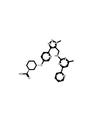 Cc1cc(-c2ccccn2)nc(NCc2c(-c3ccc(O[C@H]4CCC[C@H](C(=O)O)C4)cn3)nnn2C)n1